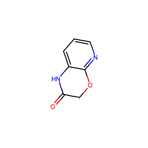 O=C1[CH]Oc2ncccc2N1